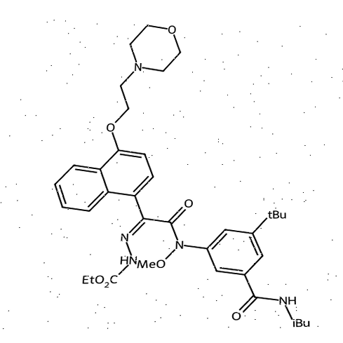 CCOC(=O)NN=C(C(=O)N(OC)c1cc(C(=O)NC(C)CC)cc(C(C)(C)C)c1)c1ccc(OCCN2CCOCC2)c2ccccc12